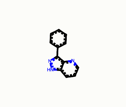 c1ccc(-c2n[nH]c3cccnc23)cc1